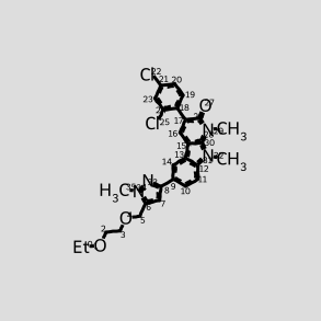 CCOCCOCc1cc(-c2ccc3c(c2)c2cc(-c4ccc(Cl)cc4Cl)c(=O)n(C)c2n3C)nn1C